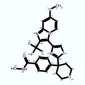 COc1ccn2c(-c3csc(C4(c5ccc(C(=O)NO)cc5)CCOCC4)n3)c(C(F)(F)F)nc2c1